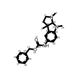 CN1CCC2(C)c3cc(NC(=O)OCc4ccccc4)ccc3N(C)C12